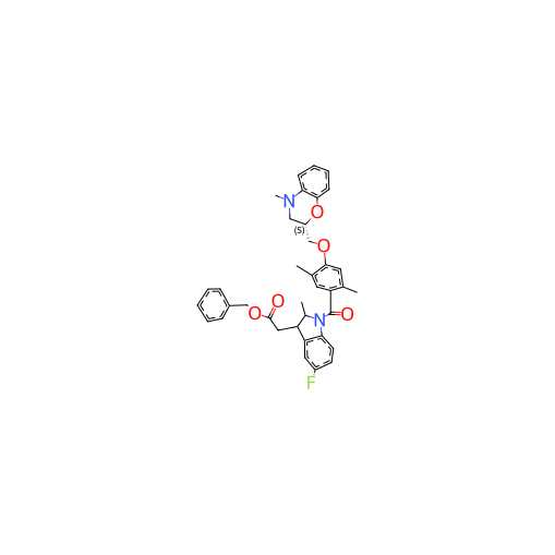 Cc1cc(C(=O)N2c3ccc(F)cc3C(CC(=O)OCc3ccccc3)C2C)c(C)cc1OC[C@@H]1CN(C)c2ccccc2O1